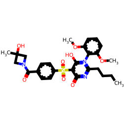 CCCCc1nc(=O)c(S(=O)(=O)c2ccc(C(=O)N3CC(C)(O)C3)cc2)c(O)n1-c1c(OC)cccc1OC